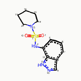 O=S(=O)(Nc1cccc2cn[nH]c12)N1CCCCC1